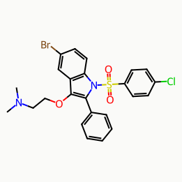 CN(C)CCOc1c(-c2ccccc2)n(S(=O)(=O)c2ccc(Cl)cc2)c2ccc(Br)cc12